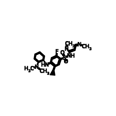 C=N/C(=C\C=N/C)NS(=O)(=O)c1cc(C2CC2)c(N[C@H]2CCCC[C@@H]2N(C)C)cc1F